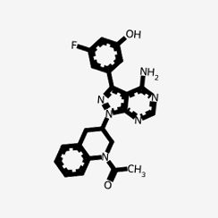 CC(=O)N1CC(n2nc(-c3cc(O)cc(F)c3)c3c(N)ncnc32)Cc2ccccc21